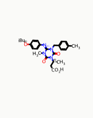 CC[C@@H](C)Oc1ccc(/N=c2\n(C)c(=O)n([C@H](C)CC(=O)O)c(=O)n2Cc2ccc(C)cc2)cc1